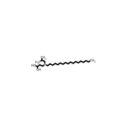 CCCCCCCCCCCCCCCCCCP(CCC(O)O)CC(C)C